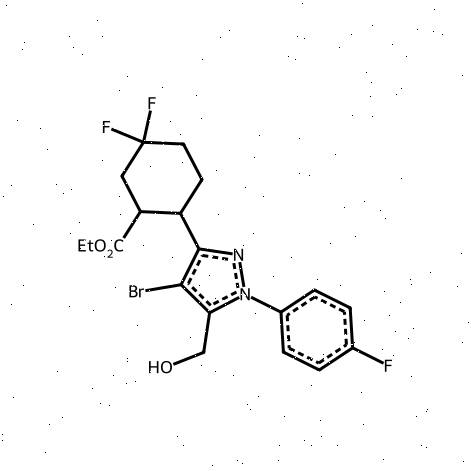 CCOC(=O)C1CC(F)(F)CCC1c1nn(-c2ccc(F)cc2)c(CO)c1Br